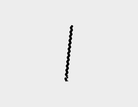 [CH2]CSCCCCCCCCCCCCCCCCCCCCCCCC